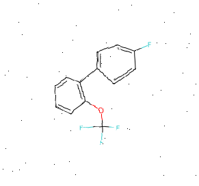 Fc1ccc(-c2[c]cccc2OC(F)(F)F)cc1